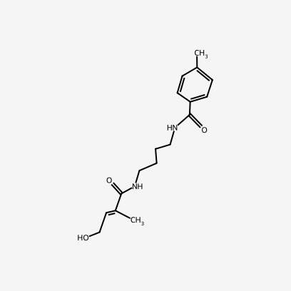 C/C(=C\CO)C(=O)NCCCCNC(=O)c1ccc(C)cc1